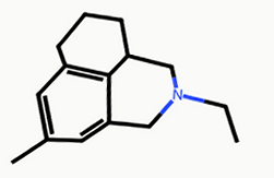 CCN1Cc2cc(C)cc3c2C(CCC3)C1